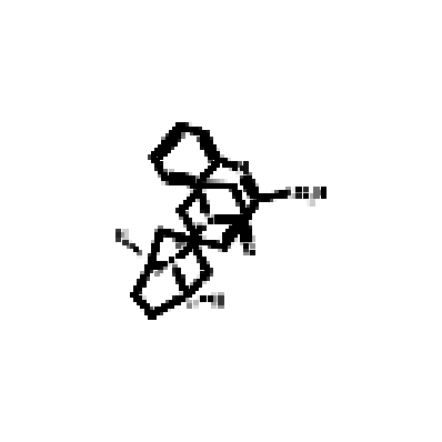 O=C(O)c1nc2ccccc2n([C@H]2C[C@H]3CC[C@@H](C2)N3C2C=CCCC2)c1=O